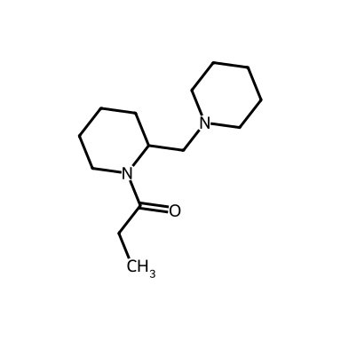 CCC(=O)N1CCCCC1CN1CCCCC1